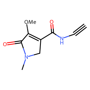 C#CNC(=O)C1=C(OC)C(=O)N(C)C1